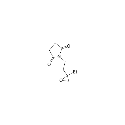 CCC1(CCN2C(=O)CCC2=O)CO1